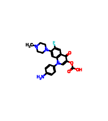 CN1CCN(c2cc3c(cc2F)c(=O)c(OC(=O)O)cn3-c2ccc(N)cc2)CC1